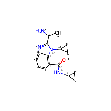 CC(N)c1nc2cccc(C(=O)NC3CC3)c2n1C1CC1